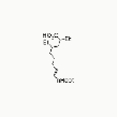 CCCCCCCC=CCCCC(CC)CC(CC)C(=O)O